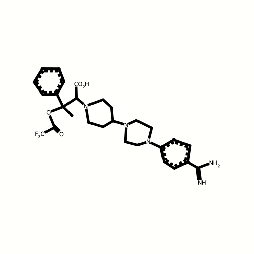 CC(OC(=O)C(F)(F)F)(c1ccccc1)C(C(=O)O)N1CCC(N2CCN(c3ccc(C(=N)N)cc3)CC2)CC1